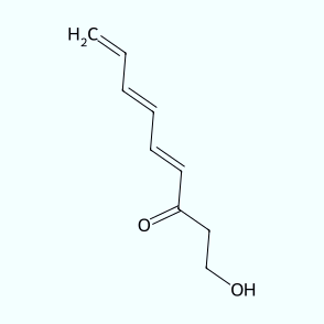 C=CC=CC=CC(=O)CCO